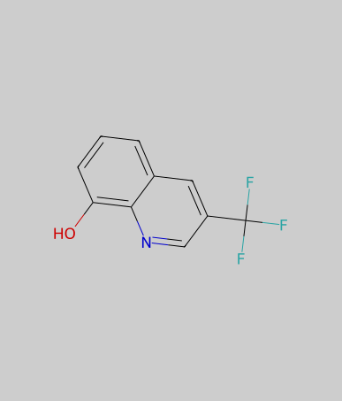 Oc1cccc2cc(C(F)(F)F)cnc12